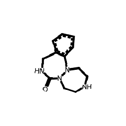 O=C1NCc2ccccc2N2CCNCCN12